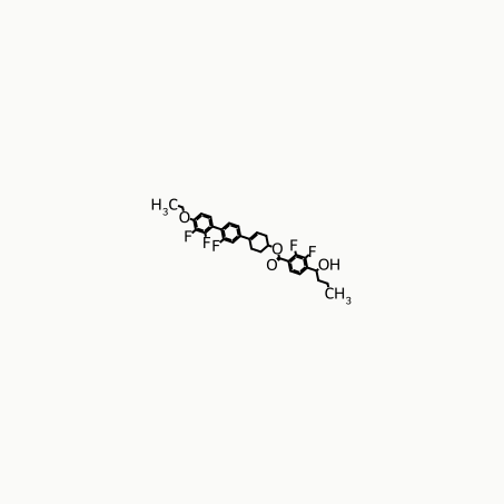 CCCC(O)c1ccc(C(=O)OC2CC=C(c3ccc(-c4ccc(OCC)c(F)c4F)c(F)c3)CC2)c(F)c1F